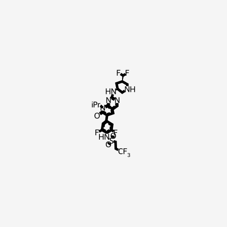 CC(C)n1c(=O)c(-c2cc(F)c(NS(=O)(=O)CCC(F)(F)F)c(F)c2)cc2cnc(N[C@@H]3CNC[C@H](C(F)F)C3)nc21